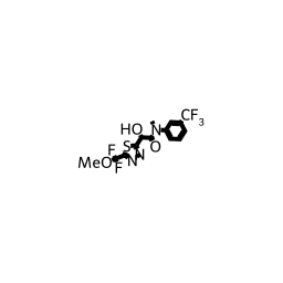 COC(F)(F)c1nnc(C(O)C(=O)N(C)c2cccc(C(F)(F)F)c2)s1